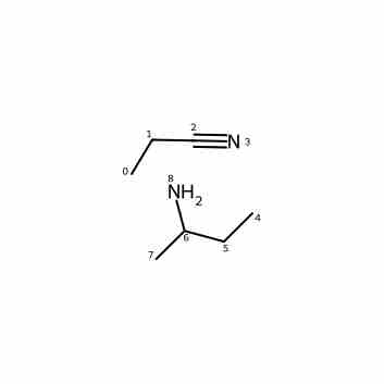 CCC#N.CCC(C)N